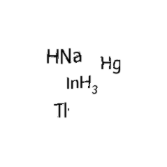 [Hg].[InH3].[NaH].[Tl]